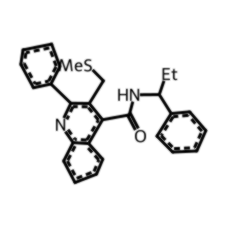 CCC(NC(=O)c1c(CSC)c(-c2ccccc2)nc2ccccc12)c1ccccc1